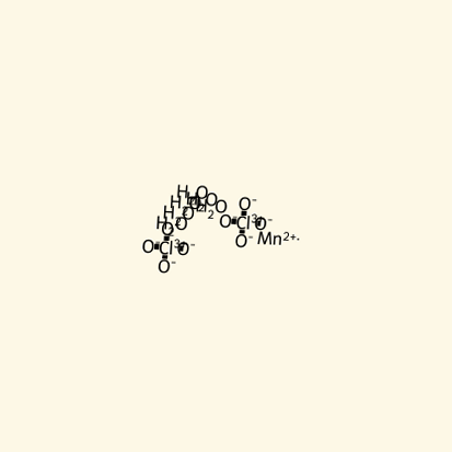 O.O.O.O.O.O.[Mn+2].[O-][Cl+3]([O-])([O-])[O-].[O-][Cl+3]([O-])([O-])[O-]